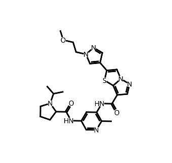 COCCn1cc(-c2cn3ncc(C(=O)Nc4cc(NC(=O)C5CCCN5C(C)C)cnc4C)c3s2)cn1